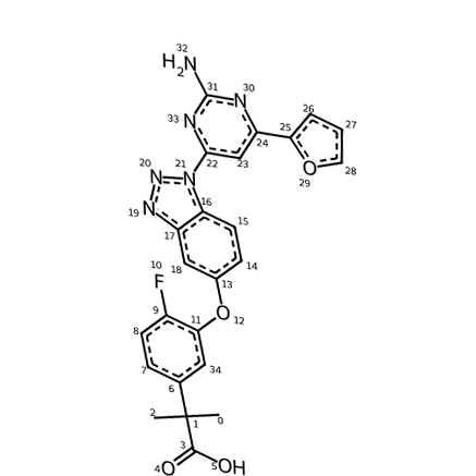 CC(C)(C(=O)O)c1ccc(F)c(Oc2ccc3c(c2)nnn3-c2cc(-c3ccco3)nc(N)n2)c1